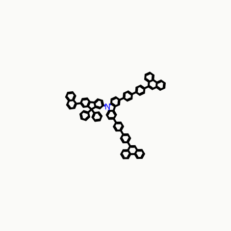 c1ccc(C2(c3ccccc3)c3cc(-c4cccc5ccccc45)ccc3-c3ccc(-n4c5ccc(-c6ccc(-c7ccc(-c8cc9ccccc9c9ccccc89)cc7)cc6)cc5c5cc(-c6ccc(-c7ccc(-c8cc9ccccc9c9ccccc89)cc7)cc6)ccc54)cc32)cc1